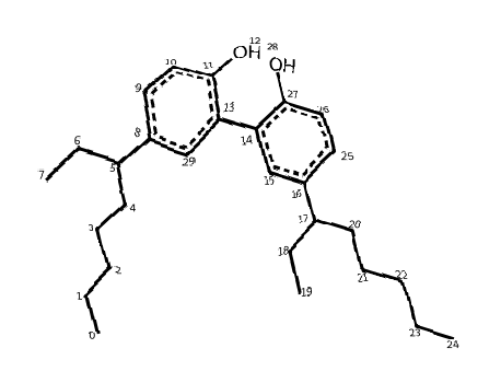 CCCCCC(CC)c1ccc(O)c(-c2cc(C(CC)CCCCC)ccc2O)c1